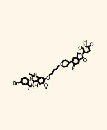 COc1cc2c(N[C@H](C)c3cccc(Br)c3)nc(C)nc2cc1OCCCCCN1CCC(c2cc3c(cc2F)C(=O)N(C2CCC(=O)NC2=O)C3)CC1